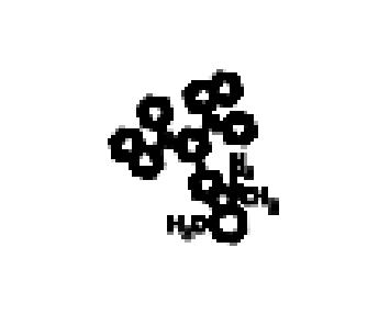 CC1CCC=CC2=C1c1ccc(-c3cc(N(c4ccccc4)c4cccc5ccccc45)cc(N(c4ccccc4)c4cccc5ccccc45)c3)cc1C2(C)C